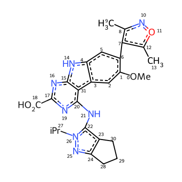 COc1cc2c(cc1-c1c(C)noc1C)[nH]c1nc(C(=O)O)nc(Nc3c4c(nn3C(C)C)CCC4)c12